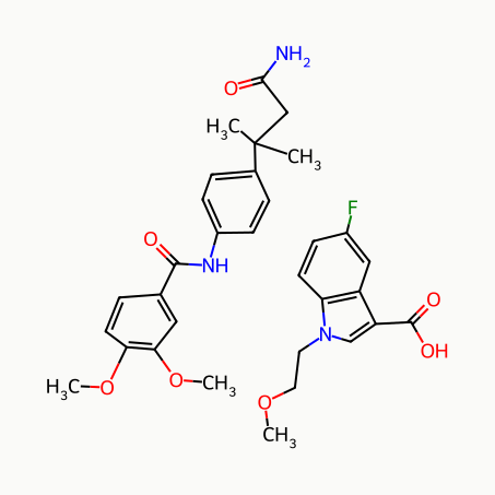 COCCn1cc(C(=O)O)c2cc(F)ccc21.COc1ccc(C(=O)Nc2ccc(C(C)(C)CC(N)=O)cc2)cc1OC